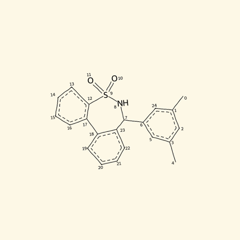 Cc1cc(C)cc(C2NS(=O)(=O)c3ccccc3-c3ccccc32)c1